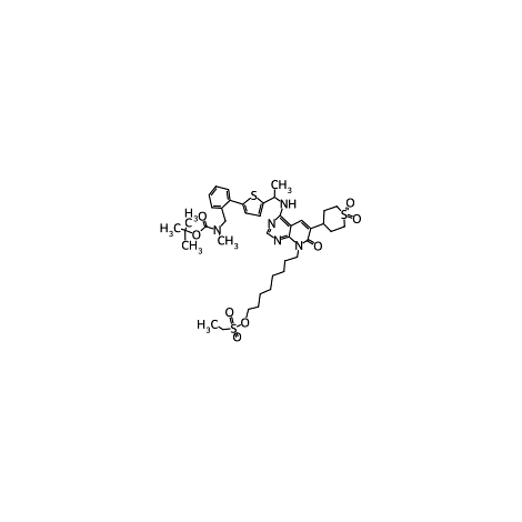 CCS(=O)(=O)OCCCCCCCCn1c(=O)c(C2CCS(=O)(=O)CC2)cc2c(NC(C)c3ccc(-c4ccccc4CN(C)C(=O)OC(C)(C)C)s3)ncnc21